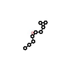 c1ccc(-c2ccc(-c3cccc(-c4ccc5oc6ccc(-c7cccc(-c8ccc9c%10ccccc%10c%10ccccc%10c9c8)c7)cc6c5c4)c3)cc2)cc1